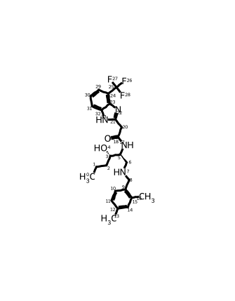 CCC[C@H](O)[C@H](CNCc1ccc(C)cc1C)NC(=O)Cc1nc2c(C(F)(F)F)cccc2[nH]1